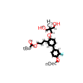 CCCCCCCCCCOc1ccc(-c2ccc(OCC(C)(CO)CO)c(CCCOC(=O)C(C)(C)C)c2)cc1F